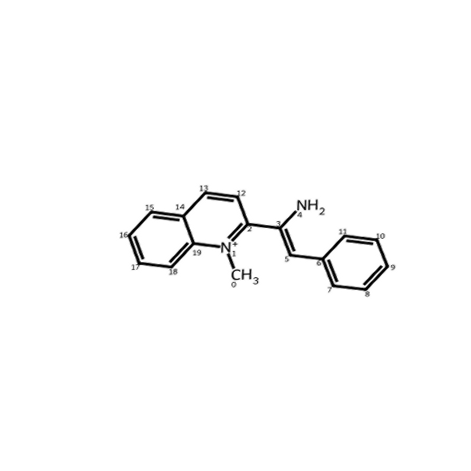 C[n+]1c(C(N)=Cc2ccccc2)ccc2ccccc21